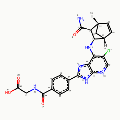 NC(=O)[C@@H]1[C@H](Nc2c(Cl)cnc3[nH]c(-c4ccc(C(=O)NCC(=O)O)cc4)nc23)[C@H]2C=C[C@@H]1C2